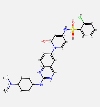 CN(C)C1CCC(Nc2ncc3cc(-n4ccc(NS(=O)(=O)c5ccccc5Cl)cc4=O)ccc3n2)CC1